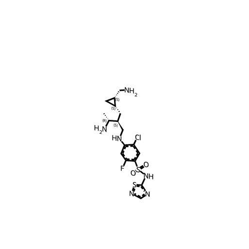 C[C@@H](N)[C@H](CNc1cc(F)c(S(=O)(=O)Nc2ncns2)cc1Cl)C[C@@H]1C[C@@H]1CN